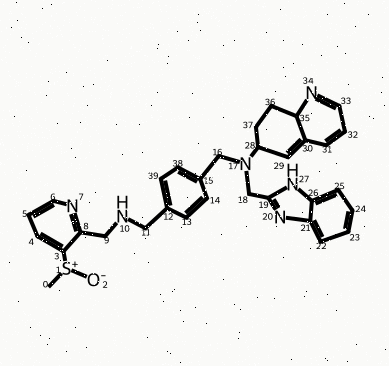 C[S+]([O-])c1cccnc1CNCc1ccc(CN(Cc2nc3ccccc3[nH]2)C2C=C3C=CC=NC3CC2)cc1